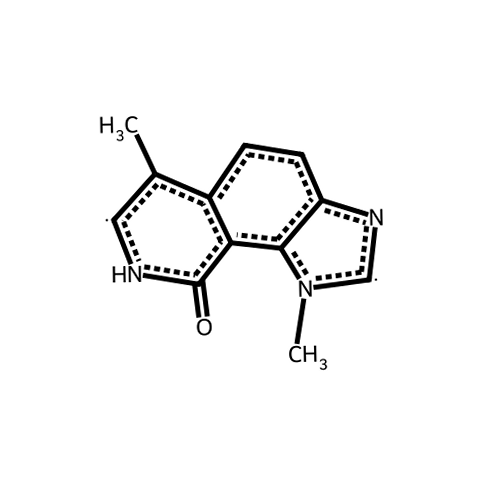 Cc1[c][nH]c(=O)c2c1ccc1n[c]n(C)c12